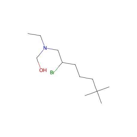 CCN(CO)CC(Br)CCCC(C)(C)C